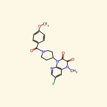 Cn1c(=O)c(=O)n(C2CCN(C(=O)c3ccc(OC(F)(F)F)cc3)CC2)c2ncc(F)cc21